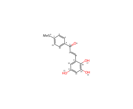 CSc1ccc(C(=O)C=Cc2cc(O)cc(O)c2O)cc1